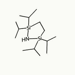 CC(C)[Si]1(C(C)C)CC[Si](C(C)C)(C(C)C)N1